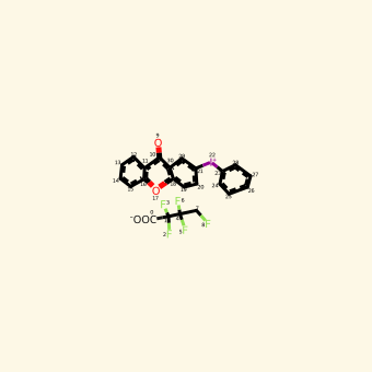 O=C([O-])C(F)(F)C(F)(F)CF.O=c1c2ccccc2oc2ccc([I+]c3ccccc3)cc12